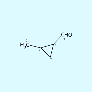 CC1CC1C=O